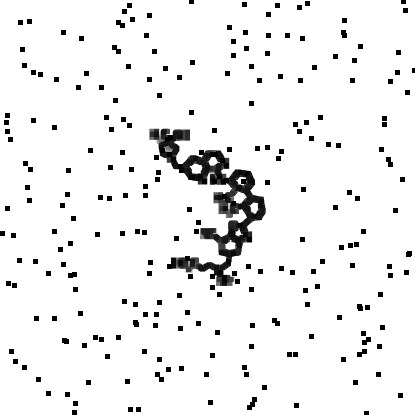 CCCN(CCC(=O)O)Cc1cc(C#N)c2oc(-c3cccc(-c4cccc(Nc5nccc6cc(CN7CC[C@](C)(O)C7)cnc56)c4C)c3C)nc2c1